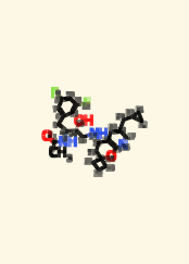 CC(=O)N[C@@H](Cc1cc(F)cc(F)c1)[C@H](O)CN[C@H]1CC2(CCC2)Oc2ncc(CC3CC3)cc21